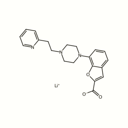 O=C([O-])c1cc2cccc(N3CCN(CCc4ccccn4)CC3)c2o1.[Li+]